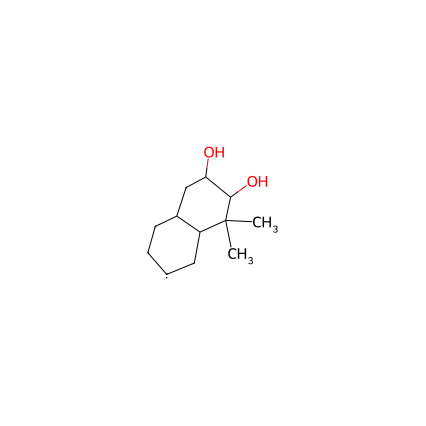 CC1(C)C(O)C(O)CC2CC[CH]CC21